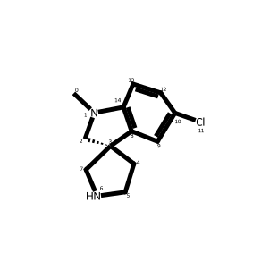 CN1C[C@@]2(CCNC2)c2cc(Cl)ccc21